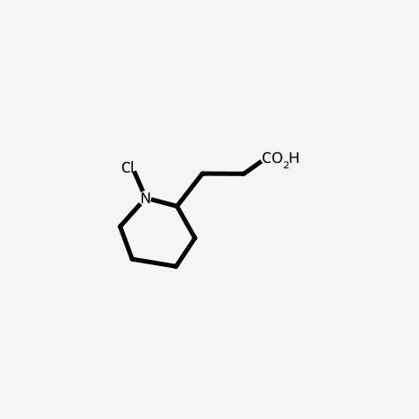 O=C(O)CCC1CCCCN1Cl